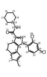 Cc1cc2c(s1)CCc1c(C(=O)NN3CCCCC3)nn(-c3ccc(Cl)cc3Cl)c1-2